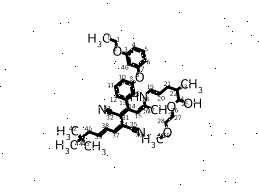 CCOc1cccc(Oc2cccc(C(/C=C(/C)N/C=C/CC(C)C(O)OCCOC)=C(C#N)/C(C#N)=C\C=C\CC(C)(C)C)c2)c1